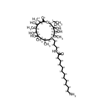 CC[C@H]1OC(=O)[C@H](C)C(O)[C@H](C)[C@@H](O)[C@](C)(O)C[C@@H](C)CN(CCCNC(=O)CCCCCCCCCCCN)[C@H](C)[C@H](O)[C@]1(C)O